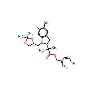 C=C(/C=C\CCC)COC(=O)C(C)(C)[C@@H]1Cc2cc([N+](=O)[O-])c(F)cc2N1C[C@H]1COC(C)(C)O1